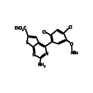 CCCCOc1cc(-c2nc(N)nc3sc(C(=O)OCC)cc23)c(Cl)cc1Cl